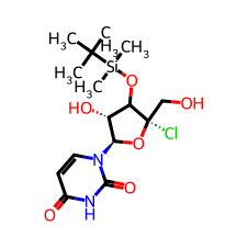 CC(C)(C)[Si](C)(C)OC1[C@@H](O)[C@H](n2ccc(=O)[nH]c2=O)O[C@]1(Cl)CO